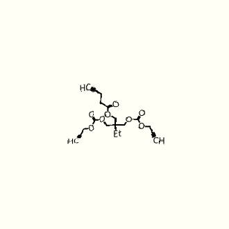 C#CCCC(=O)OCC(CC)(COC(=O)OCC#C)COC(=O)OCC#C